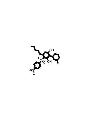 CCCCCc1cc(O)c(C2C=C(C)CCC2)c(O)c1S(=O)(=O)c1ccc([N+](=O)[O-])cc1